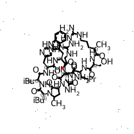 CC[C@H](C)[C@H](NC(=O)[C@H]([C@@H](C)CC)N1C(=O)[C@@H](NC(=O)[C@H](CCCNC(=N)N)NC(=O)[C@H](CC(C)C)NC(=O)[C@H](CO)NC(=O)[C@@H](C)CCCNC(=N)N)CC1C)C(=O)N[C@@H](Cc1c[nH]cn1)C(=O)N[C@@H](Cc1c[nH]c2ccccc12)C(=O)N[C@@H](CC(N)=O)C(N)=O